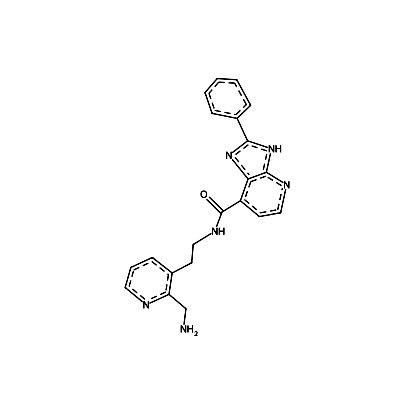 NCc1ncccc1CCNC(=O)c1ccnc2[nH]c(-c3ccccc3)nc12